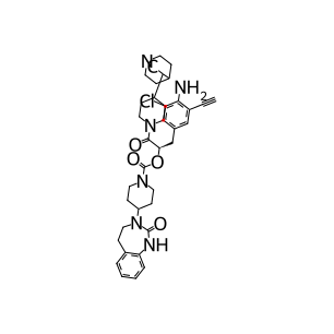 C#Cc1cc(C[C@@H](OC(=O)N2CCC(N3CCc4ccccc4NC3=O)CC2)C(=O)N2CCC(C3CN4CCC3CC4)CC2)cc(Cl)c1N